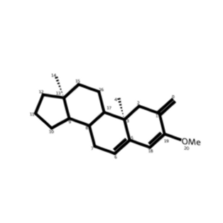 C=C1C[C@@]2(C)C(=CCC3C4CCC[C@@]4(C)CCC32)C=C1OC